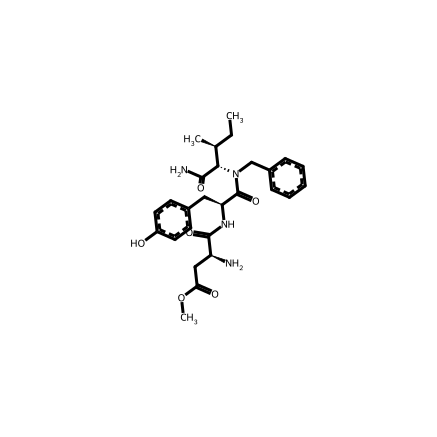 CC[C@H](C)[C@@H](C(N)=O)N(Cc1ccccc1)C(=O)[C@H](Cc1ccc(O)cc1)NC(=O)[C@@H](N)CC(=O)OC